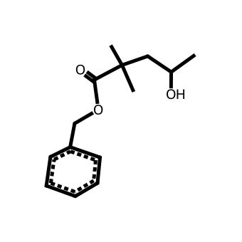 CC(O)CC(C)(C)C(=O)OCc1ccccc1